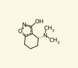 CN(C)[C@@H]1CCCc2onc(O)c21